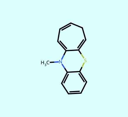 CN1C2=CC=CCC=C2Sc2ccccc21